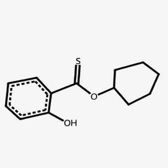 Oc1ccccc1C(=S)OC1CCCCC1